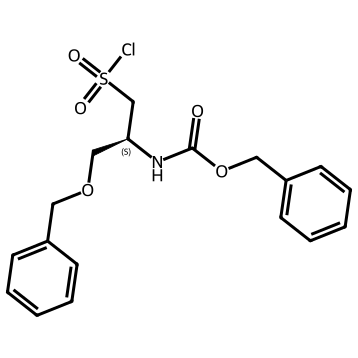 O=C(N[C@@H](COCc1ccccc1)CS(=O)(=O)Cl)OCc1ccccc1